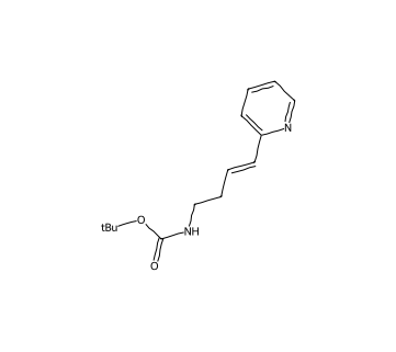 CC(C)(C)OC(=O)NCCC=Cc1ccccn1